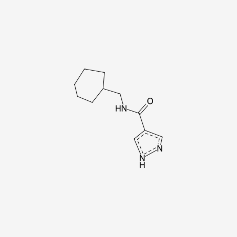 O=C(NCC1CCCCC1)c1cn[nH]c1